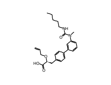 C=CCO[C@@H](Cc1ccc(-c2cccc(N(C)C(=O)NCCCCC)c2)cc1)C(=O)O